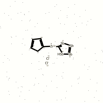 C1=CC[C]([Zr+2][C]2=[Sb][Sb]=[Sb][SbH]2)=C1.[Cl-].[Cl-]